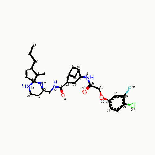 CCCCC(C)C1(CC)N=C(CNC(=O)C2CC(NC(=O)COc3ccc(Cl)c(F)c3)C3CC2C3)CCN1